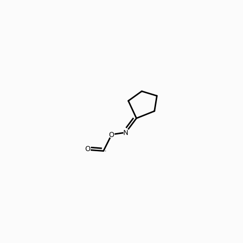 O=[C]ON=C1CCCC1